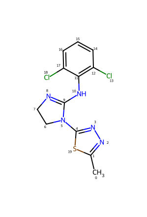 Cc1nnc(N2CCN=C2Nc2c(Cl)cccc2Cl)s1